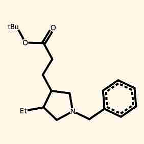 CCC1CN(Cc2ccccc2)CC1CCC(=O)OC(C)(C)C